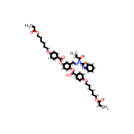 C=CC(=O)OCCCCCCOc1ccc(C(=O)Oc2ccc(OC(O)c3ccc(OCCCCCCOC(=O)C=C)cc3)c(/C=N/N(C(=O)C=C)c3nc4ccccc4s3)c2)cc1